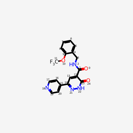 O=C(NCc1ccccc1OC(F)(F)F)c1cc(-c2ccncc2)n[nH]c1=O